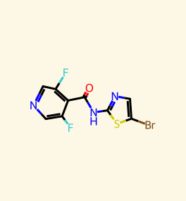 O=C(Nc1ncc(Br)s1)c1c(F)cncc1F